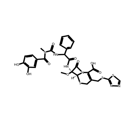 CO[C@@]1(NC(=O)C(NC(=O)N(C)C(=O)c2ccc(O)c(O)c2)c2ccccc2)C(=O)N2C(C(=O)O)=C(CSc3nncs3)CS[C@H]21